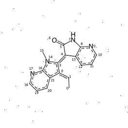 C/C=c1/c(=C2/C(=O)Nc3ncccc32)n(C)c2ncccc12